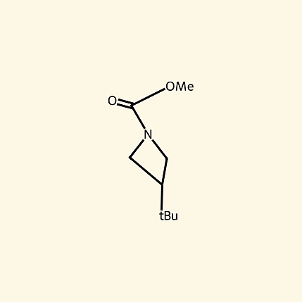 COC(=O)N1CC(C(C)(C)C)C1